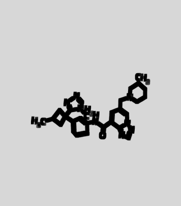 CC1CC(c2cccc(NC(=O)c3cc(CN4CCC[C@H](C)C4)cn4ncnc34)c2)(c2nncn2C)C1